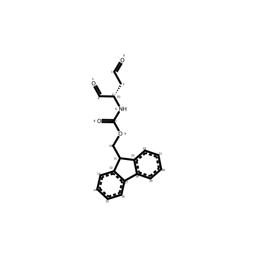 O=[C]C[C@@H]([C]=O)NC(=O)OCC1c2ccccc2-c2ccccc21